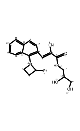 CCC1CCN1c1c(/C=C(\C#N)C(=O)NCC(O)CO)ccc2ccccc12